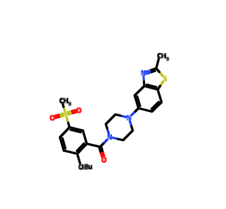 Cc1nc2cc(N3CCN(C(=O)c4cc(S(C)(=O)=O)ccc4OCC(C)C)CC3)ccc2s1